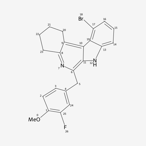 COc1ccc(Cc2nc3c(c4c2[nH]c2cccc(Br)c24)CCCC3)cc1F